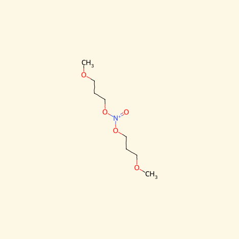 COCCCO[N+](=O)OCCCOC